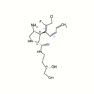 C=C/C=C\C(=C(\F)CCl)[C@@H]1C(N)CN[C@H]1C(=O)NCC[C@H](O)CO